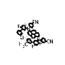 Cc1cccc(-c2cc(N(c3ccc(C#N)cc3)c3ccc4ccc5c(N(c6ccc(C#N)cc6)c6cc(-c7cccc(C)c7)c(F)cc6F)ccc6ccc3c4c65)c(F)cc2F)c1